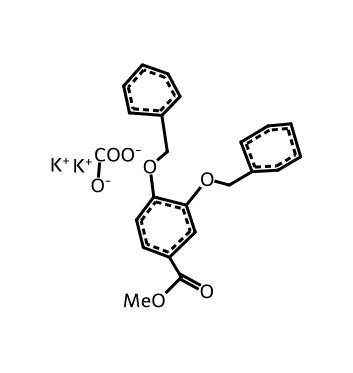 COC(=O)c1ccc(OCc2ccccc2)c(OCc2ccccc2)c1.O=C([O-])[O-].[K+].[K+]